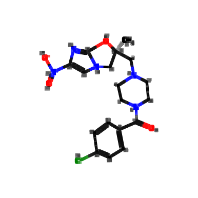 C[C@]1(CN2CCN(C(=O)c3ccc(Cl)cc3)CC2)Cn2cc([N+](=O)[O-])nc2O1